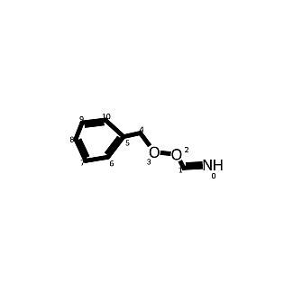 N=COOCc1ccccc1